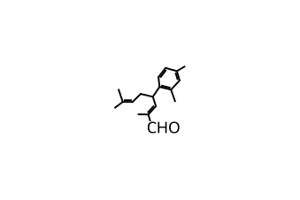 CC(C)=CCC(/C=C(\C)C=O)c1ccc(C)cc1C